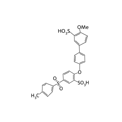 COc1ccc(-c2ccc(Oc3ccc(S(=O)(=O)c4ccc(C)cc4)cc3S(=O)(=O)O)cc2)cc1S(=O)(=O)O